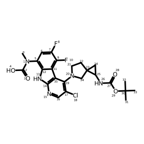 CN(C(=O)O)c1cc(F)c(F)c2c1[nH]c1ncc(Cl)c(N3CCC4(CC4NC(=O)OC(C)(C)C)C3)c12